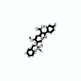 COc1cc2c(C(=O)O)c(-c3ccc(F)cc3)nn2cc1N(Cc1ccccc1)S(C)(=O)=O